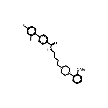 COc1ccccc1N1CCN(CCCCNC(=O)c2ccc(-c3ccc(F)cc3F)cc2)CC1